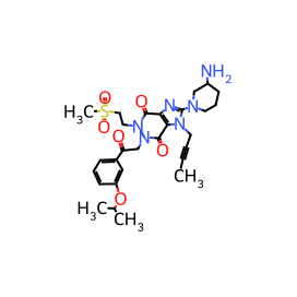 CC#CCn1c(N2CCCC(N)C2)nc2c(=O)n(CCS(C)(=O)=O)n(CC(=O)c3cccc(OC(C)C)c3)c(=O)c21